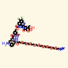 CC[C@@]1(O)C(=O)OCc2c1cc1n(c2=O)Cc2c-1nc1cc(F)c(C)c3c1c2[C@@H](NC(=O)OCc1ccc(NC(=O)[C@H](CCCCN)NC(=O)[C@H](Cc2ccccc2)NC(=O)CCOCCOCCOCCOCCOCCOCCOCCOCCOCCN=[N+]=[N-])c(OC)c1)CC3